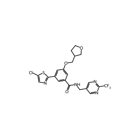 O=C(NCc1cnc(C(F)(F)F)nc1)c1cc(OCC2CCOC2)cc(-c2ncc(Cl)s2)c1